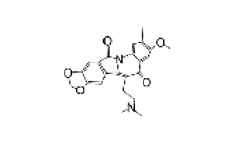 COc1cc2c(=O)c(CCN(C)C)c3n(c2cc1C)C(=O)c1cc2c(cc1-3)OCO2